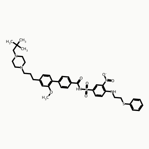 COc1cc(CCCN2CCN(CC(C)(C)C)CC2)ccc1-c1ccc(C(=O)NS(=O)(=O)c2ccc(NCCSc3ccccc3)c([N+](=O)[O-])c2)cc1